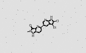 CCc1c(Cl)[nH]c2ncc(-c3ccc4[nH]n(C)c(=O)c4n3)cc12